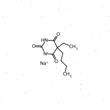 CCCCC1(CC)C(=O)[N-]C(=O)NC1=O.[Na+]